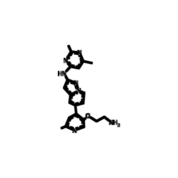 Cc1cc(-c2ccn3nc(Nc4cc(C)nc(C)n4)cc3c2)c(OCCN)cn1